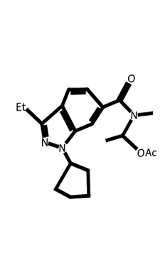 CCc1nn(C2CCCC2)c2cc(C(=O)N(C)C(C)OC(C)=O)ccc12